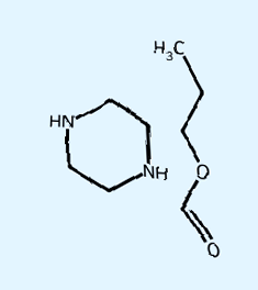 C1CNCCN1.CCCOC=O